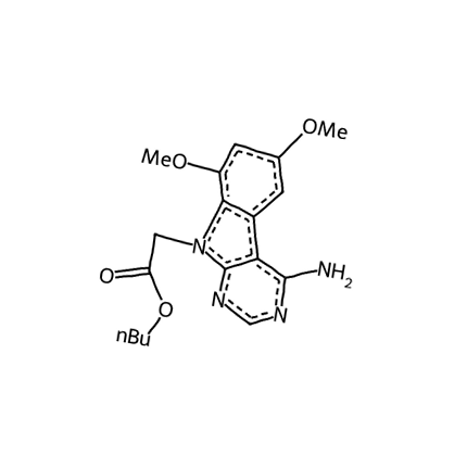 CCCCOC(=O)Cn1c2ncnc(N)c2c2cc(OC)cc(OC)c21